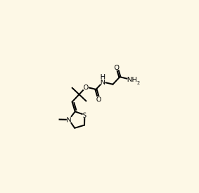 CN1CCS/C1=C\C(C)(C)OC(=O)NCC(N)=O